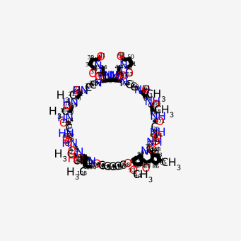 C=C(C)N1C(=O)NS(=O)(=O)NCC(=O)N[C@H](C)C(=O)N[C@H](C)C(=O)NCCNC(=O)[C@@H](NC(=O)CN2C(=O)C=CC2=O)[C@H](NC(=O)CN2C(=O)C=CC2=O)C(=O)NCCNC(=O)[C@@H](C)NC(=O)[C@@H](C)NC(=O)CNS(=O)(=O)NC(=O)N2C[C@@H]3C=C(C)CC3C(=O)c3cc(OC)c(cc32)OCCCCCON2CC(C)=C[C@H]2C1O